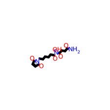 NC(=O)CCC(=O)N(O)C(=O)CCCCCN1C(=O)C=CC1=O